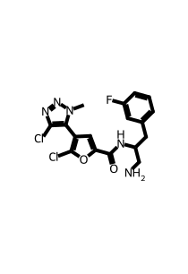 Cn1nnc(Cl)c1-c1cc(C(=O)NC(CN)Cc2cccc(F)c2)oc1Cl